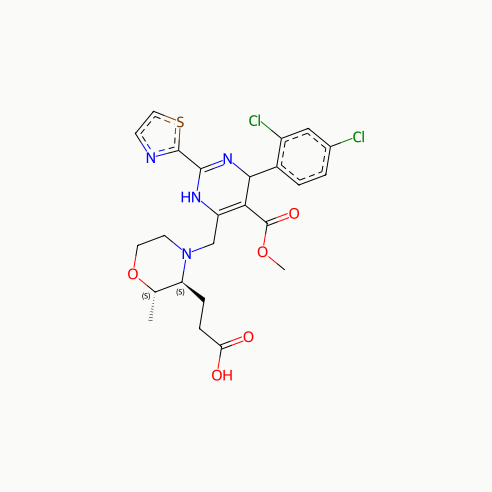 COC(=O)C1=C(CN2CCO[C@@H](C)[C@@H]2CCC(=O)O)NC(c2nccs2)=NC1c1ccc(Cl)cc1Cl